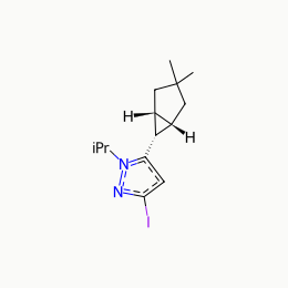 CC(C)n1nc(I)cc1[C@@H]1[C@@H]2CC(C)(C)C[C@@H]21